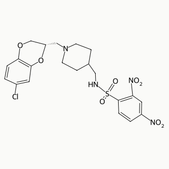 O=[N+]([O-])c1ccc(S(=O)(=O)NCC2CCN(C[C@H]3COc4ccc(Cl)cc4O3)CC2)c([N+](=O)[O-])c1